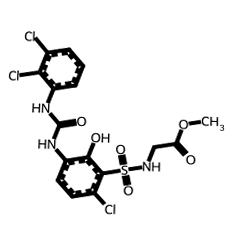 COC(=O)CNS(=O)(=O)c1c(Cl)ccc(NC(=O)Nc2cccc(Cl)c2Cl)c1O